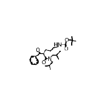 CC(C)CN(CC(C)C)C(=O)[C@H](CCCCNC(=O)OC(C)(C)C)C(=O)c1ccccc1